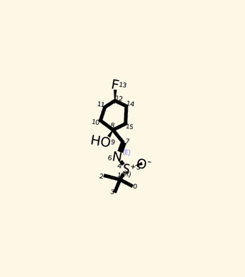 CC(C)(C)[S@+]([O-])/N=C/[C@]1(O)CC[C@@H](F)CC1